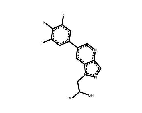 CC(C)C(O)Cn1ncc2ncc(-c3cc(F)c(F)c(F)c3)cc21